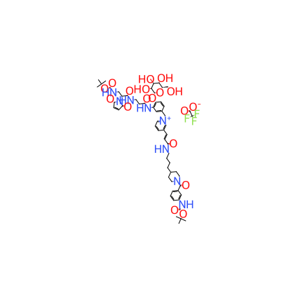 CC(C)(C)OC(=O)NCC(C(=O)NCCC(=O)Nc1cc(C[n+]2cccc(/C=C/C(=O)NCCCCC3CCN(C(=O)c4cccc(NC(=O)OC(C)(C)C)c4)CC3)c2)ccc1O[C@H]1O[C@H](CO)[C@@H](O)[C@H](O)[C@@H]1O)N1C(=O)C=CC1=O.O=C([O-])C(F)(F)F